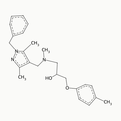 Cc1ccc(OCC(O)CN(C)Cc2c(C)nn(Cc3ccccc3)c2C)cc1